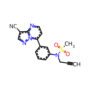 C#CCN(c1cccc(-c2ccnc3c(C#N)cnn23)c1)S(C)(=O)=O